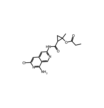 CCC(=O)OC1(C)CC1C(=O)Nc1cc2cc(Cl)nc(N)c2cn1